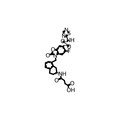 O=C(O)CCC(=O)N[C@@H]1CCc2cccc(Cn3c(=O)oc4cc(S(=O)(=O)Nc5ncns5)c(F)cc43)c2C1